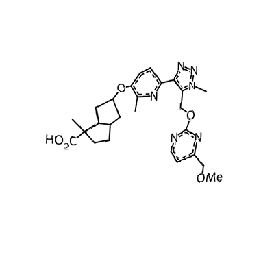 COCc1ccnc(OCc2c(-c3ccc(OC4CC5CCC(C)(C(=O)O)C5C4)c(C)n3)nnn2C)n1